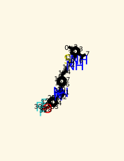 Cc1ccc(C(C)C)c(NC(=S)NCCCc2ccc(-c3ncn(-c4ccc(OC(F)(F)F)cc4)n3)cc2)c1